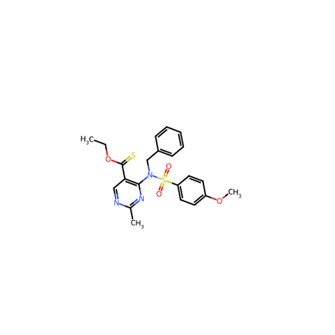 CCOC(=S)c1cnc(C)nc1N(Cc1ccccc1)S(=O)(=O)c1ccc(OC)cc1